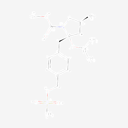 C[SiH](C)O[C@@]1(Cc2ccc(COS(C)(=O)=O)cc2)C[C@H](C(C)(C)C)CN1C(=O)OC(C)(C)C